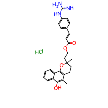 Cc1c2c(c3ccccc3c1O)OC(C)(CCOC(=O)C=Cc1ccc(NC(=N)N)cc1)CC2.Cl